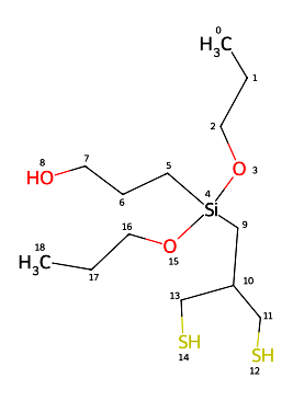 CCCO[Si](CCCO)(CC(CS)CS)OCCC